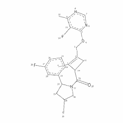 CC1=C(COc2ncnc(C)c2F)CC1C(=O)N1CC(F)CC1c1cccc(F)c1